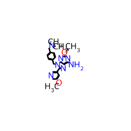 CCOc1nc(N)c2nc(-c3cncc(OC)c3)n(Cc3ccc(CN(C)C)cc3)c2n1